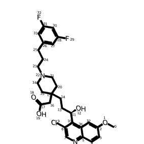 COc1ccc2ncc(Cl)c([C@H](O)CCC3(CC(=O)O)CCN(CCCc4cc(F)cc(F)c4)CC3)c2c1